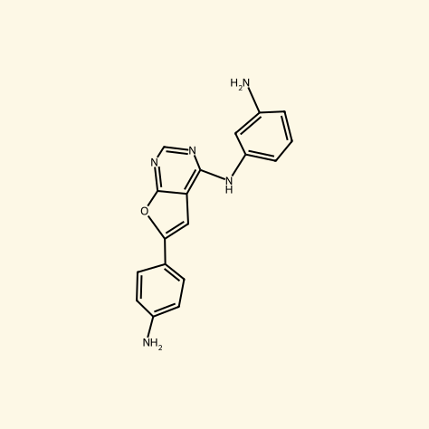 Nc1ccc(-c2cc3c(Nc4cccc(N)c4)ncnc3o2)cc1